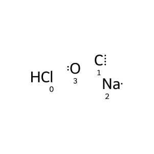 Cl.[C].[Na].[O]